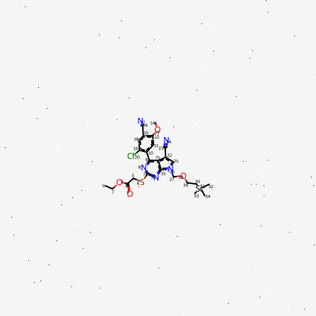 CCOC(=O)CSc1nc(-c2cc(OC)c(C#N)cc2Cl)c2c(C#N)cn(COCC[Si](C)(C)C)c2n1